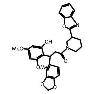 COc1cc(O)c(C(CC(=O)N2CCCC(c3nc4ccccc4o3)C2)c2ccc3c(c2)OCO3)c(OC)c1